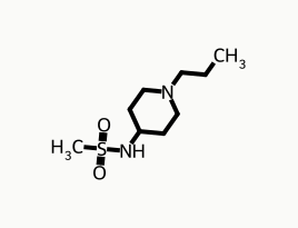 CCCN1CCC(NS(C)(=O)=O)CC1